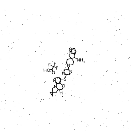 N[C@@H]1c2ccnn2CC12CCN(c1cnc(Sc3ccnc4c3OC[C@@H]3CC5(CC5)CN43)cn1)CC2.O=C(O)C(F)(F)F